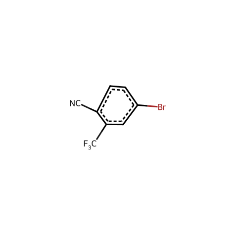 N#Cc1ccc(Br)cc1C(F)(F)F